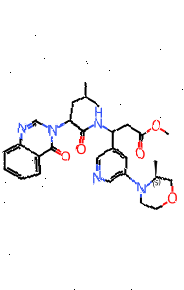 COC(=O)CC(NC(=O)C(CC(C)C)n1cnc2ccccc2c1=O)c1cncc(N2CCOC[C@@H]2C)c1